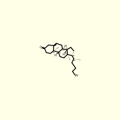 CC(C)CCC[C@@H](C)[C@H]1CC[C@H]2[C@@H]3CC=C4CC(=O)CC[C@]4(C)[C@H]3CC[C@]12C